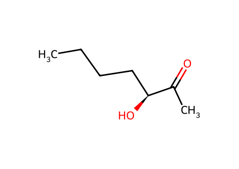 CCCC[C@H](O)C(C)=O